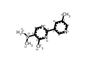 Cc1cncc(-c2ncc(N(C)C)c(C(F)(F)F)n2)c1